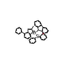 CC1=Cc2c(-c3ccccc3)cccc2[CH]1[Zr]([CH]1c2ccccc2-c2ccccc21)=[Si](c1ccccc1)c1ccccc1